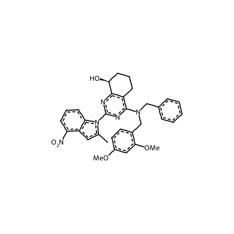 COc1ccc(CN(Cc2ccccc2)c2nc(-n3c(C)cc4c([N+](=O)[O-])cccc43)nc3c2CCC[C@@H]3O)c(OC)c1